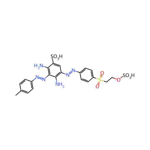 Cc1ccc(N=Nc2c(N)c(N=Nc3ccc(S(=O)(=O)CCOS(=O)(=O)O)cc3)cc(S(=O)(=O)O)c2N)cc1